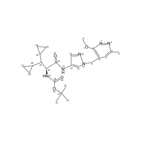 COc1nnc(C)cc1Cn1cc(NC(=O)[C@@H](NC(=O)OC(C)(C)C)C(C2CC2)C2CC2)cn1